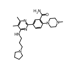 Cc1nc(-c2ccc(N3CCN(C)CC3)c(C(N)=O)c2)nc(NCCCN2CCCC2)c1C